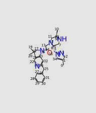 Cc1cnn(C[C@H]2CN[C@H](C)CN2CC(=O)N2CC(C)(C)c3cnc(Cc4ccccc4)cc32)c1